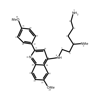 CNC(CCCN)CCNc1cc(-c2ccc(OC)cc2)nc2ccc(OC)cc12